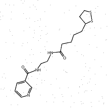 O=C(CCCCC1CCSS1)NCCNC(=O)c1cccnc1